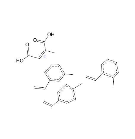 C/C(=C/C(=O)O)C(=O)O.C=Cc1ccc(C)cc1.C=Cc1cccc(C)c1.C=Cc1ccccc1C